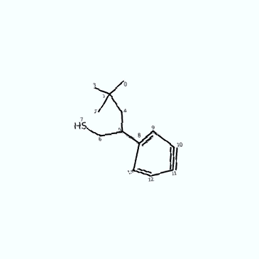 CC(C)(C)CC(CS)c1cc#ccc1